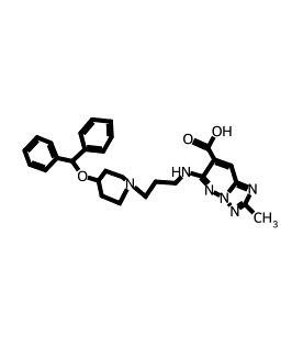 Cc1nc2cc(C(=O)O)c(NCCCN3CCC(OC(c4ccccc4)c4ccccc4)CC3)nn2n1